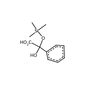 C[Si](C)(C)OC(O)(C(=O)O)c1ccccc1